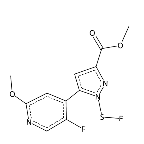 COC(=O)c1cc(-c2cc(OC)ncc2F)n(SF)n1